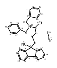 CCC(CCCC1(C#N)c2ccccc2-c2ccccc21)N(Cc1ccccc1)Cc1ccccc1.CCI